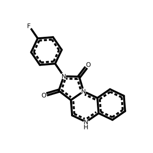 O=c1c2c[nH]c3ccccc3n-2c(=O)n1-c1ccc(F)cc1